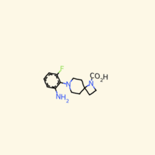 Nc1cccc(F)c1N1CCC2(CC1)CCN2C(=O)O